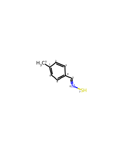 Cc1ccc(C=NS)cc1